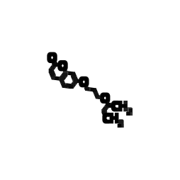 C=CC(=C)OCCCOc1ccc2ccc(=O)oc2c1